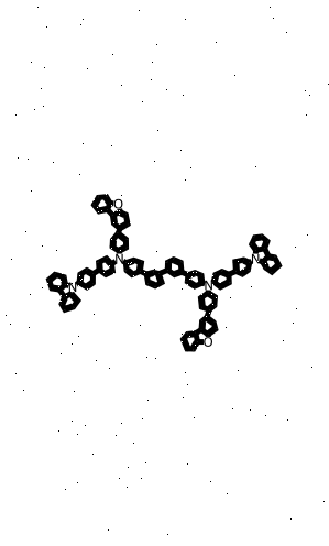 c1cc(-c2ccc(N(c3ccc(-c4ccc(-n5c6ccccc6c6ccccc65)cc4)cc3)c3ccc(-c4ccc5oc6ccccc6c5c4)cc3)cc2)cc(-c2cccc(-c3ccc(N(c4ccc(-c5ccc(-n6c7ccccc7c7ccccc76)cc5)cc4)c4ccc(-c5ccc6oc7ccccc7c6c5)cc4)cc3)c2)c1